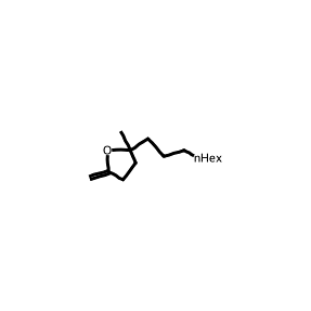 C=C1CCC(C)(CCCCCCCCC)O1